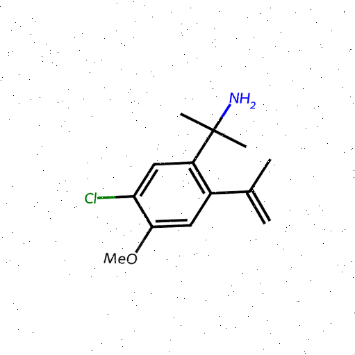 C=C(C)c1cc(OC)c(Cl)cc1C(C)(C)N